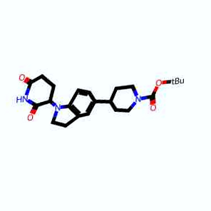 CC(C)(C)OC(=O)N1CCC(c2ccc3c(c2)CCN3C2CCC(=O)NC2=O)CC1